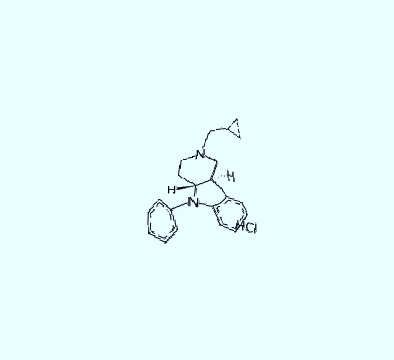 Cl.c1ccc(N2c3ccccc3[C@@H]3CN(CC4CC4)CC[C@H]32)cc1